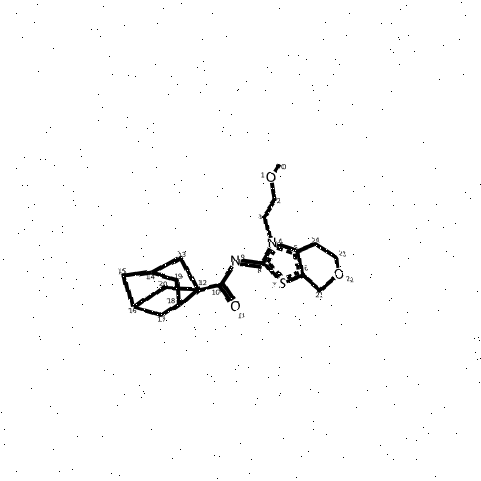 COCCn1c2c(s/c1=N\C(=O)C13CC4CC(CC1C4)C3)COCC2